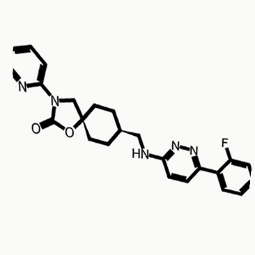 O=C1O[C@]2(CC[C@H](CNc3ccc(-c4ccccc4F)nn3)CC2)CN1c1ccccn1